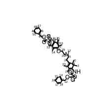 Cc1c(C)c(NS(=O)(=O)C(=O)OCc2ccccc2)c(C)c(C)c1CCN(C)CCOc1c(C)c(C)c(NS(=O)(=O)C(=O)OCc2ccccc2)c(C)c1C